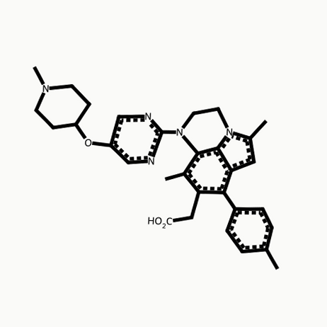 Cc1ccc(-c2c(CC(=O)O)c(C)c3c4c2cc(C)n4CCN3c2ncc(OC3CCN(C)CC3)cn2)cc1